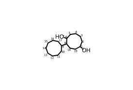 OC1CCCCC(O)C(C2CCCCCCCC2)CC1